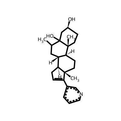 CC1C[C@H]2[C@@H]3CC=C(c4cccnc4)[C@@]3(C)CC[C@@H]2[C@@]2(C)CC[C@H](O)CC12O